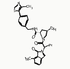 Cc1ncsc1-c1ccc(CNC(=O)[C@@H]2C[C@@H](O)CN2C(=O)C(C(C)C)N2Cc3cccc(C#N)c3C2=O)cc1